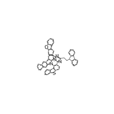 c1ccc2c(c1)-c1ccccc1C2CCc1nc(-c2ccc3oc4ccccc4c3c2)nc(-c2ccc3sc4ccccc4c3c2-n2c3ccccc3c3cc4ccccc4cc32)n1